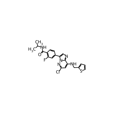 CC(C)NC(=O)c1ccc(-c2cnc3c(NCc4cccs4)cc(Cl)nn23)cc1F